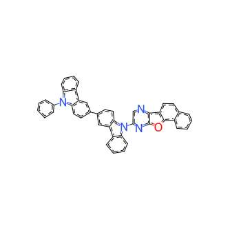 c1ccc(-n2c3ccccc3c3cc(-c4ccc5c(c4)c4ccccc4n5-c4cnc5c(n4)oc4c6ccccc6ccc54)ccc32)cc1